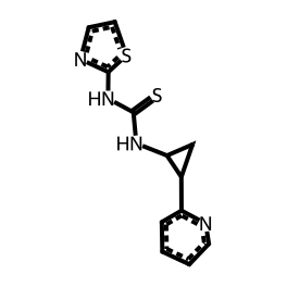 S=C(Nc1nccs1)NC1CC1c1ccccn1